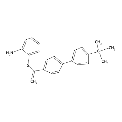 C=C(Sc1ccccc1N)c1ccc(-c2ccc([Si](C)(C)C)cc2)cc1